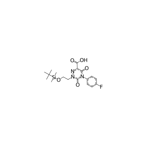 CC(C)(C)[Si](C)(C)OCCn1nc(C(=O)O)c(=O)n(-c2ccc(F)cc2)c1=O